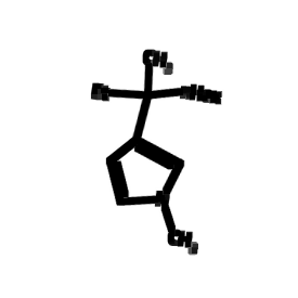 CCCCCCC(C)(CC)c1ccn(C)c1